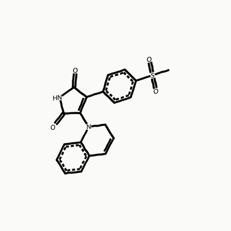 CS(=O)(=O)c1ccc(C2=C(N3CC=Cc4ccccc43)C(=O)NC2=O)cc1